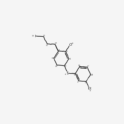 CCC1C=C(SC2C=C(Cl)C(CCCI)=CC2)C=CC1